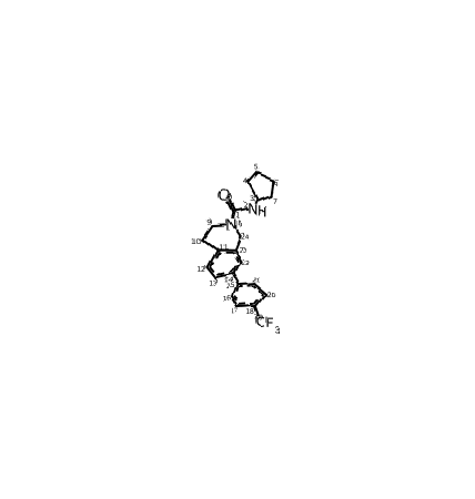 O=C(NC1CCCC1)N1CCc2ccc(-c3ccc(C(F)(F)F)cc3)cc2C1